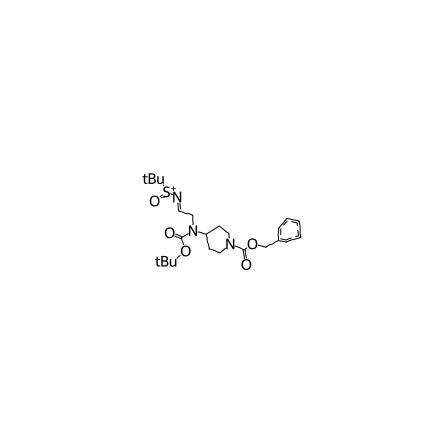 CC(C)(C)OC(=O)N(CC=N[S+]([O-])C(C)(C)C)C1CCN(C(=O)OCc2ccccc2)CC1